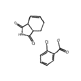 O=C(Cl)c1ccccc1Cl.O=C1NC(=O)C2CCC=CC12